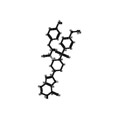 CC(C)(C)c1ccc(CNC(=O)[C@H]2CN(c3nc4nn[nH]c(=O)c4s3)CCN2S(=O)(=O)c2ccc(OC(F)(F)F)cc2)cc1